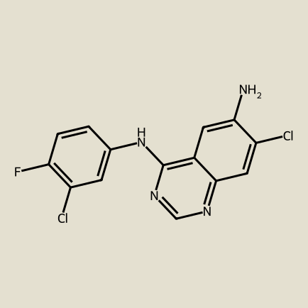 Nc1cc2c(Nc3ccc(F)c(Cl)c3)ncnc2cc1Cl